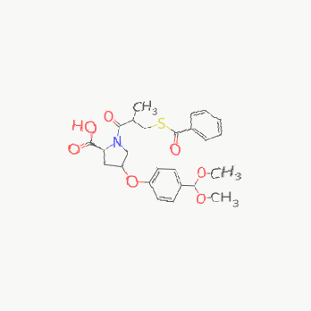 COC(OC)c1ccc(OC2C[C@@H](C(=O)O)N(C(=O)C(C)CSC(=O)c3ccccc3)C2)cc1